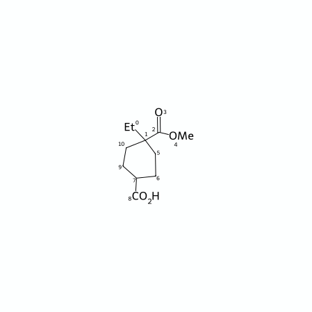 CCC1(C(=O)OC)CCC(C(=O)O)CC1